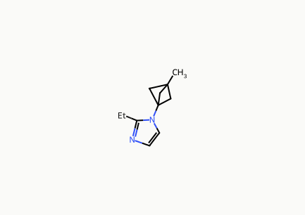 CCc1nccn1C12CC(C)(C1)C2